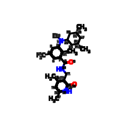 CCN(c1cc(C(F)(F)F)cc(C(=O)NCc2c(C)cc(C)[nH]c2=O)c1C)C1C[C@@H](C)C[C@@H](C)C1